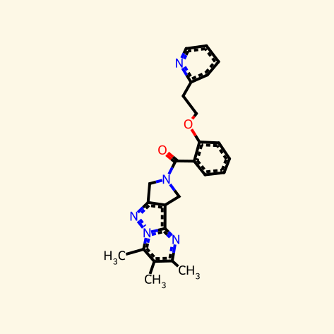 Cc1nc2c3c(nn2c(C)c1C)CN(C(=O)c1ccccc1OCCc1ccccn1)C3